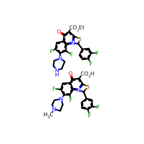 CCOC(=O)c1c2n(c3c(F)c(N4CCNCC4)c(F)cc3c1=O)C(c1ccc(F)c(F)c1)S2.CN1CCN(c2c(F)cc3c(=O)c(C(=O)O)c4n(c3c2F)C(c2ccc(F)c(F)c2)S4)CC1